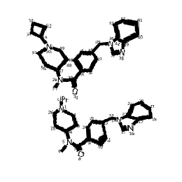 CC(C)N1CCC(N(C)C(=O)c2ccc(Cn3cnc4ccccc43)cc2)CC1.CN(C(=O)c1ccc(Cn2cnc3ccccc32)cc1)C1CCN(C2CCC2)CC1